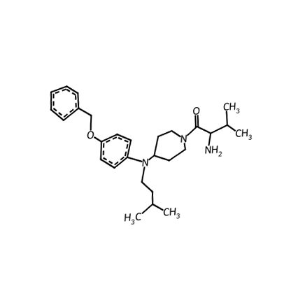 CC(C)CCN(c1ccc(OCc2ccccc2)cc1)C1CCN(C(=O)C(N)C(C)C)CC1